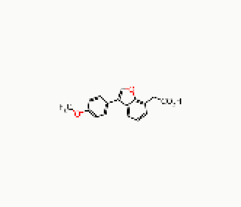 O=C(O)Cc1cccc2c(-c3ccc(OC(F)(F)F)cc3)coc12